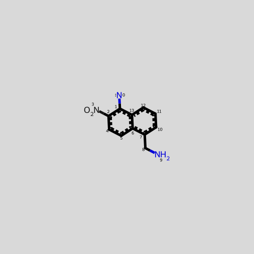 [N]c1c([N+](=O)[O-])ccc2c(CN)cccc12